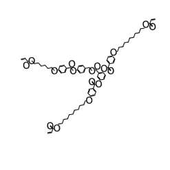 C=CC(=O)OCCCCCCCCCCCOc1ccc(C(=O)Oc2ccc(OC(=O)c3ccc(OCCCCCCCCCCCOC(=O)C=C)cc3)c(C(=O)OCc3ccc(OC(=O)c4ccc(OCCCCCCOC(=O)C=C)cc4)cc3)c2)cc1